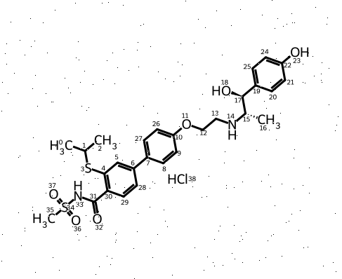 CC(C)Sc1cc(-c2ccc(OCCN[C@@H](C)[C@@H](O)c3ccc(O)cc3)cc2)ccc1C(=O)NS(C)(=O)=O.Cl